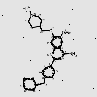 COc1cc2c(N)nc(-c3ccc(Cc4ccccc4)cc3)nc2cc1OCC1CCN(C)CC1